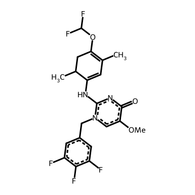 COc1cn(Cc2cc(F)c(F)c(F)c2)c(NC2=CC(C)=C(OC(F)F)CC2C)nc1=O